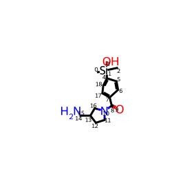 C[Si](C)(O)c1ccc(C(=O)N2CCC(CN)C2)cc1